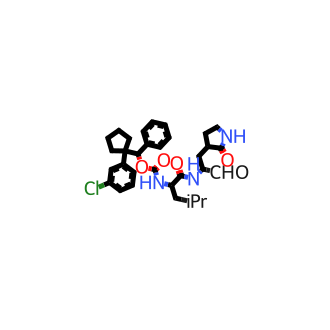 CC(C)CC(NC(=O)OC(c1ccccc1)C1(c2cccc(Cl)c2)CCCC1)C(=O)NC(C=O)CC1CCNC1=O